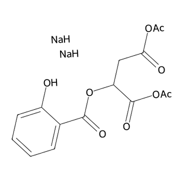 CC(=O)OC(=O)CC(OC(=O)c1ccccc1O)C(=O)OC(C)=O.[NaH].[NaH]